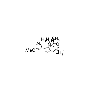 COc1cncc(-c2ccc3c(c2)C2(CC(C)(C)C3)N=C(N)N(C)C2=O)c1